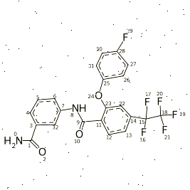 NC(=O)c1cccc(NC(=O)c2ccc(C(F)(F)C(F)(F)F)cc2Oc2ccc(F)cc2)c1